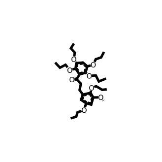 CCCOc1cc(CCC(=O)c2c(OCCC)c(OCCC)cc(OCCC)c2OCCC)c(OCCC)c(OC)c1